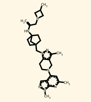 C=C(CN1CC(C)C1)NC12CCC(Cn3nc(C)c4c3CCN(c3cc(C)nc5c3cnn5C)C4)(CC1)C2